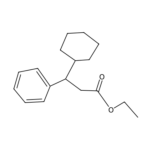 CCOC(=O)CC(c1ccccc1)C1CCCCC1